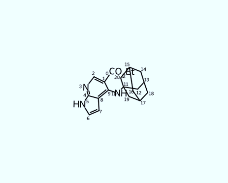 CCOC(=O)c1cnc2[nH]ccc2c1NC12CC3CC(CC(C3)C1)C2